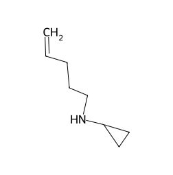 C=CCCCNC1CC1